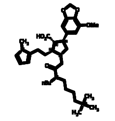 CCCCN(CCCC[N+](C)(C)C)C(=O)CN1C[C@H](c2cc(OC)c3c(c2)OCO3)[C@@H](C(=O)O)[C@@H]1CCc1cccn1C